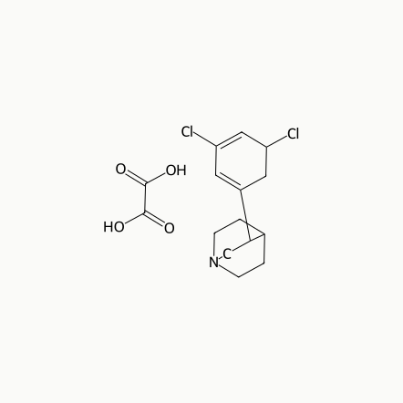 ClC1=CC(Cl)CC(C2CN3CCC2CC3)=C1.O=C(O)C(=O)O